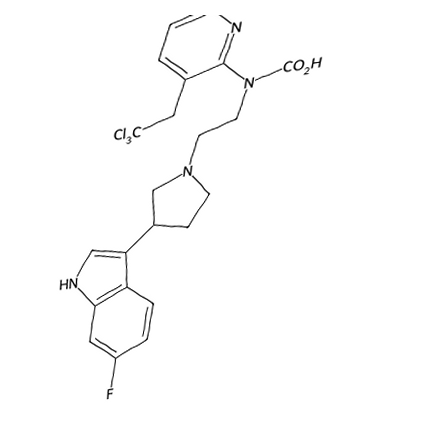 O=C(O)N(CCN1CCC(c2c[nH]c3cc(F)ccc23)C1)c1ncccc1CC(Cl)(Cl)Cl